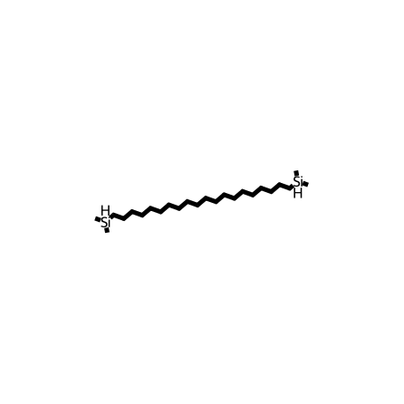 C[SiH](C)CCCCCCCCCCCCCCCCCCCC[SiH](C)C